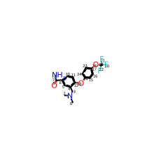 CN(C)Cc1cc(C(N)=O)ccc1Oc1ccc(OC(F)(F)F)cc1